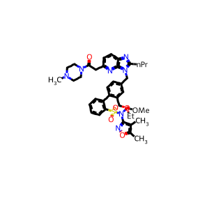 CCCc1nc2ccc(CC(=O)N3CCN(C)CC3)nc2n1Cc1ccc(-c2ccccc2S(=O)(=O)N(COC)c2noc(C)c2C)c(COCC)c1